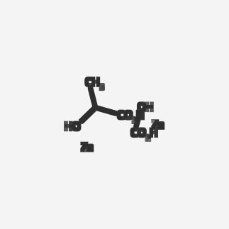 CC(O)C(=O)O.O=C(O)O.[Zn].[Zn]